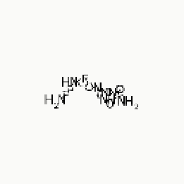 CC(Cc1ccc(/N=C(\C=C/NC=O)N2CCN(C(=O)C(C)(C)N)CC2)cc1F)NC1CC2(CC(N)C2)C1